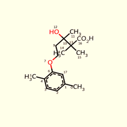 Cc1ccc(C)c(OCCC(C)(O)C(C)(C)C(=O)O)c1